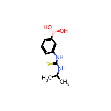 CC(C)NC(=S)Nc1cccc(B(O)O)c1